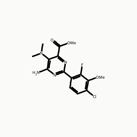 COC(=O)c1nc(-c2ccc(Cl)c(OC)c2F)nc(N)c1N(C)C